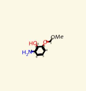 COCOc1cccc(N)c1O